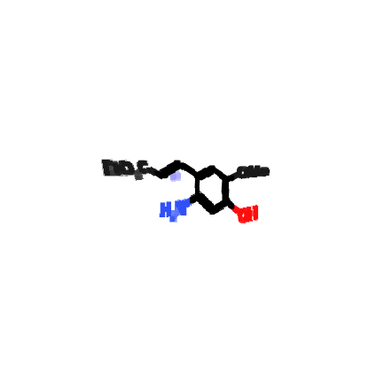 CCOC(=O)/C=C/c1cc(OC)c(O)cc1N